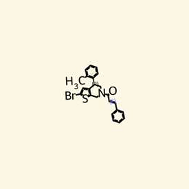 Cc1ccccc1[C@H]1CN(C(=O)/C=C/c2ccccc2)Cc2sc(Br)cc21